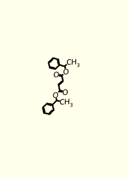 CC(OC(=O)/C=C/C(=O)OC(C)c1ccccc1)c1ccccc1